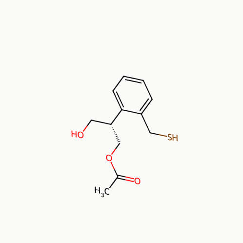 CC(=O)OC[C@H](CO)c1ccccc1CS